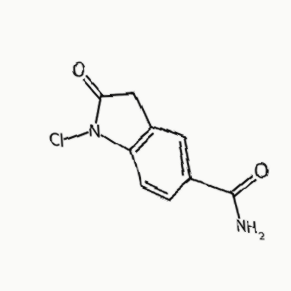 NC(=O)c1ccc2c(c1)CC(=O)N2Cl